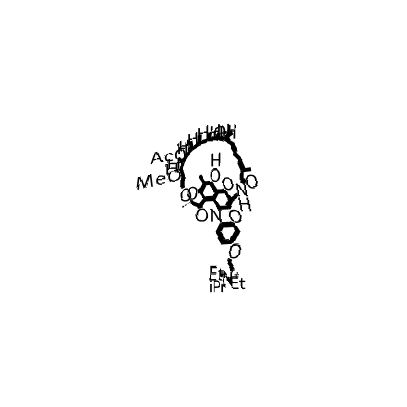 CC[N+](CC)(CCOc1ccc2nc3c4c5c6c(C)c(O)c4c(=O)c(c-3oc2c1)NC(=O)/C(C)=C\C=C\[C@H](C)[C@H](O)[C@@H](C)[C@@H](C)[C@@H](C)[C@H](OC(C)=O)[C@H](C)[C@@H](OC)/C=C/O[C@@](C)(O6)C5=O)C(C)C